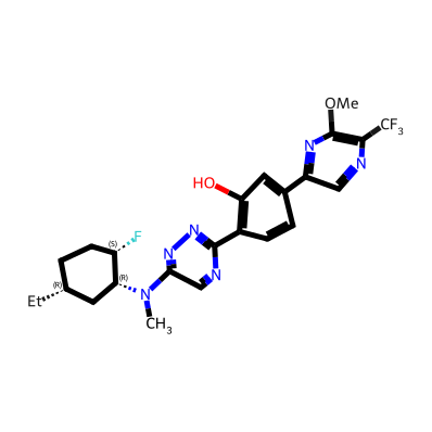 CC[C@@H]1CC[C@H](F)[C@H](N(C)c2cnc(-c3ccc(-c4cnc(C(F)(F)F)c(OC)n4)cc3O)nn2)C1